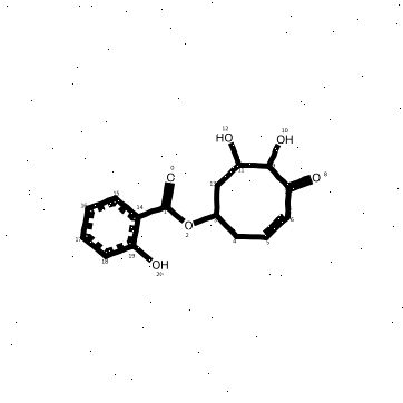 O=C(OC1C/C=C\C(=O)C(O)C(O)C1)c1ccccc1O